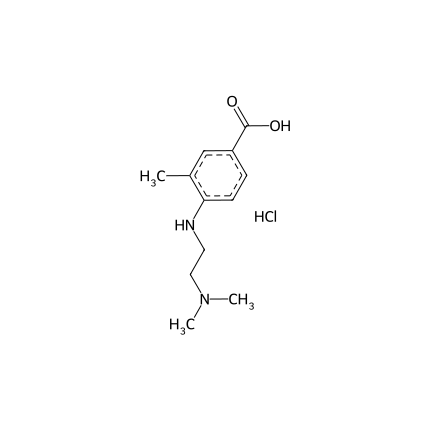 Cc1cc(C(=O)O)ccc1NCCN(C)C.Cl